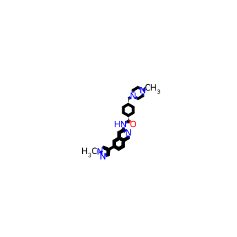 CN1CCN(C[C@H]2CC[C@@H](C(=O)Nc3cc4cc(-c5cnn(C)c5)ccc4cn3)CC2)CC1